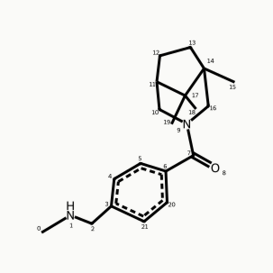 CNCc1ccc(C(=O)N2CC3CCC(C)(C2)C3(C)C)cc1